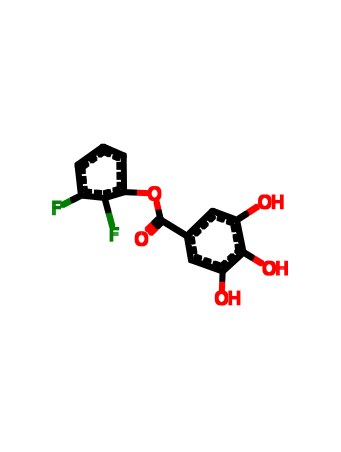 O=C(Oc1cccc(F)c1F)c1cc(O)c(O)c(O)c1